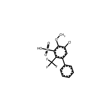 COc1c(Cl)cc(-c2ccccc2)c(C(F)(F)F)c1S(=O)(=O)O